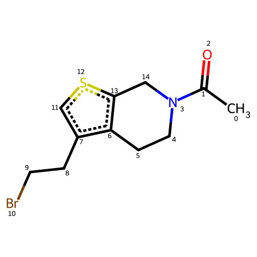 CC(=O)N1CCc2c(CCBr)csc2C1